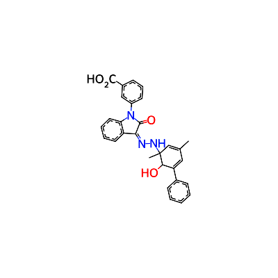 CC1=CC(C)(NN=C2C(=O)N(c3cccc(C(=O)O)c3)c3ccccc32)C(O)C(c2ccccc2)=C1